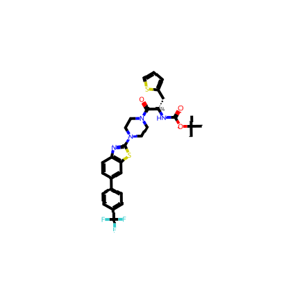 CC(C)(C)OC(=O)N[C@@H](Cc1cccs1)C(=O)N1CCN(c2nc3ccc(-c4ccc(C(F)(F)F)cc4)cc3s2)CC1